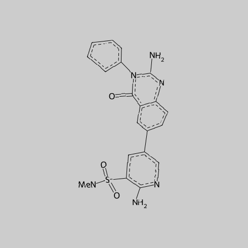 CNS(=O)(=O)c1cc(-c2ccc3nc(N)n(-c4ccccc4)c(=O)c3c2)cnc1N